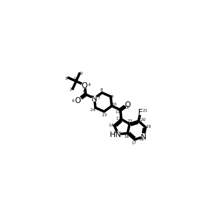 CC(C)(C)OC(=O)N1CCC(C(=O)c2c[nH]c3cncc(F)c23)CC1